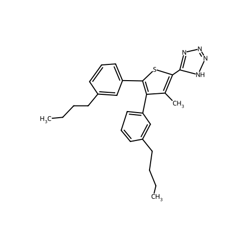 CCCCc1cccc(-c2sc(-c3nnn[nH]3)c(C)c2-c2cccc(CCCC)c2)c1